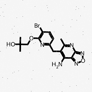 Cc1nc2nonc2c(N)c1Cc1ccc(Br)c(OCC(C)(C)O)n1